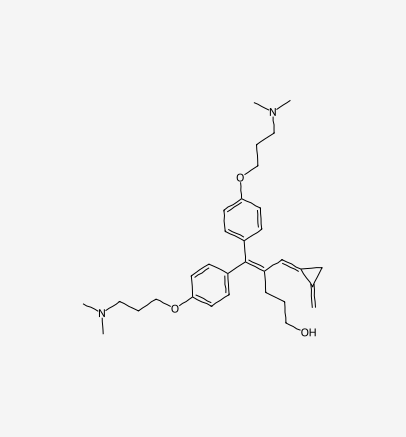 C=C1C/C1=C/C(CCCO)=C(c1ccc(OCCCN(C)C)cc1)c1ccc(OCCCN(C)C)cc1